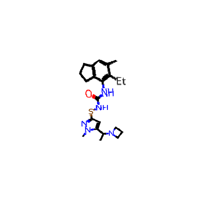 CCc1c(C)cc2c(c1NC(=O)NSc1cc(C(C)N3CCC3)n(C)n1)CCC2